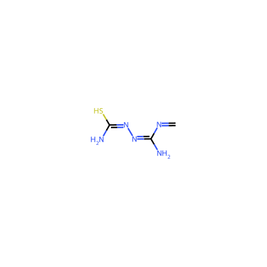 C=N/C(N)=N\N=C(/N)S